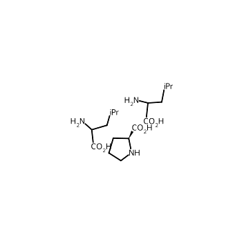 CC(C)CC(N)C(=O)O.CC(C)CC(N)C(=O)O.O=C(O)[C@@H]1CCCN1